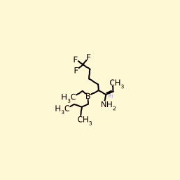 C/C=C(/N)C(CCCC(F)(F)F)B(CC)CC(C)CC